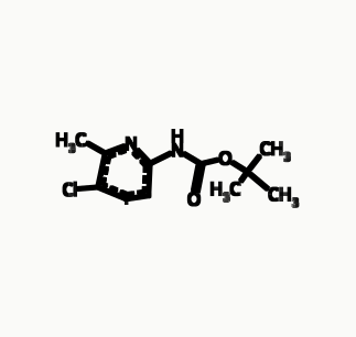 Cc1nc(NC(=O)OC(C)(C)C)c[c]c1Cl